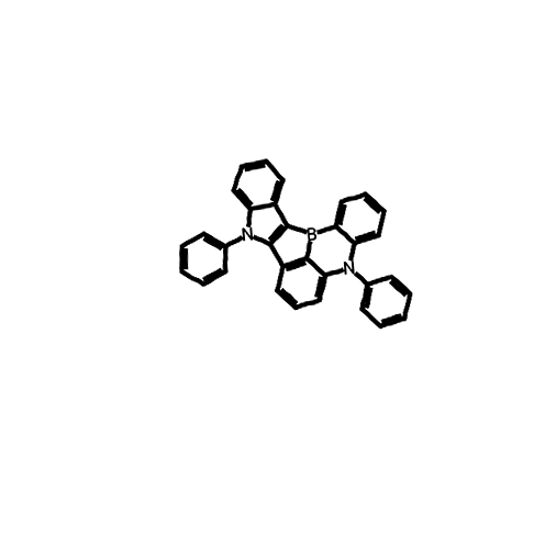 c1ccc(N2c3ccccc3B3c4c(cccc42)-c2c3c3ccccc3n2-c2ccccc2)cc1